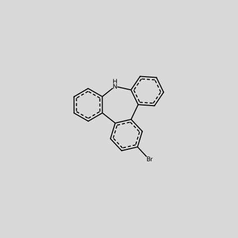 Brc1ccc2c(c1)-c1ccccc1Nc1ccccc1-2